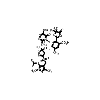 CSc1nnc(C(C)(C)C)c(=O)n1N.Cc1cnc(C2=NC(C)(C(C)C)C(=O)N2)c(C(=O)O)c1.Cn1nc(C(F)(F)F)c(CS(=O)(=O)C2=NOC(C)(C)C2)c1OC(F)F